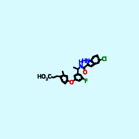 Cc1cc(Oc2cc(F)cc(C(C)NC(=O)c3cc4cc(Cl)ccc4[nH]3)c2)ccc1CCC(=O)O